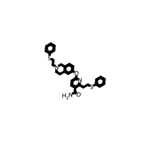 NC(=O)c1ccc(Oc2ccc3c(c2)CCN(CCSc2ccccc2)C3)nc1CCSc1ccccc1